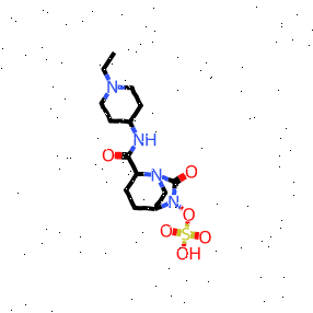 CCN1CCC(NC(=O)C2CCC3CN2C(=O)N3OS(=O)(=O)O)CC1